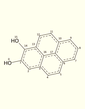 Oc1[c]c2ccc3cccc4ccc(c1O)c2c34